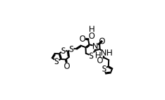 O=C(Cc1cccs1)NC1C(=O)N2C(C(=O)O)=C(/C=C/Sc3cc(=O)c4sccc4s3)CS[C@H]12